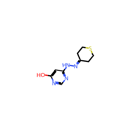 Oc1cc(NN=C2CCSCC2)ncn1